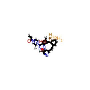 C=CC(=O)N1CCN(c2nc(=O)n3c4c(CC)cncc4ccc4ccc(P)c(P)c4c4c(C)cc2c3c4O)[C@@H](C)C1